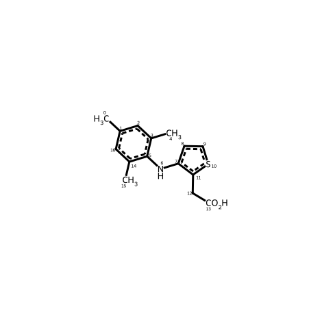 Cc1cc(C)c(Nc2ccsc2CC(=O)O)c(C)c1